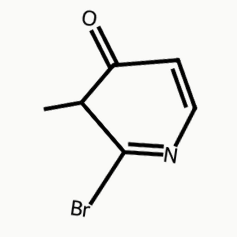 CC1C(=O)C=CN=C1Br